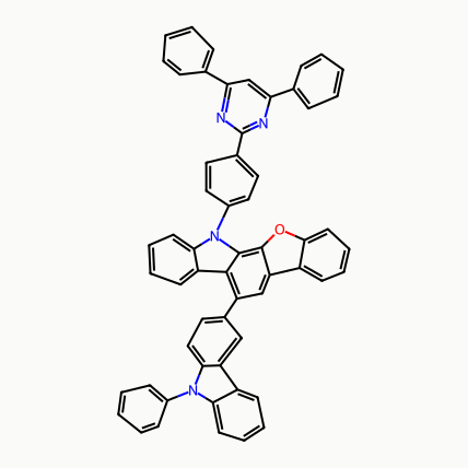 c1ccc(-c2cc(-c3ccccc3)nc(-c3ccc(-n4c5ccccc5c5c(-c6ccc7c(c6)c6ccccc6n7-c6ccccc6)cc6c7ccccc7oc6c54)cc3)n2)cc1